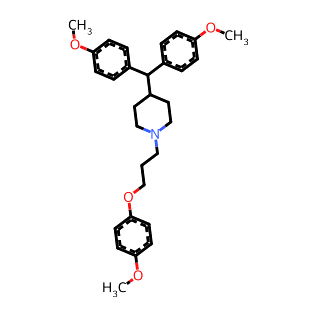 COc1ccc(OCCCN2CCC(C(c3ccc(OC)cc3)c3ccc(OC)cc3)CC2)cc1